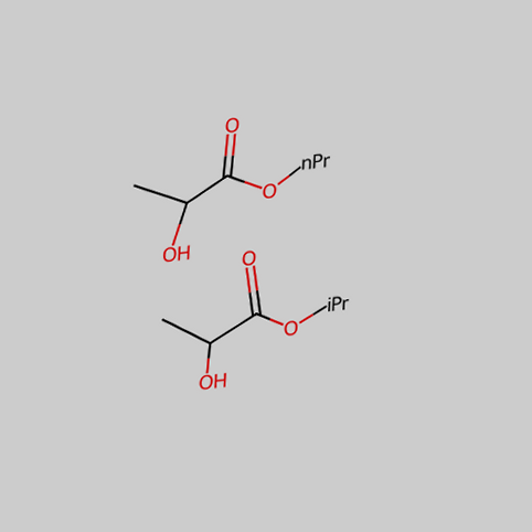 CC(C)OC(=O)C(C)O.CCCOC(=O)C(C)O